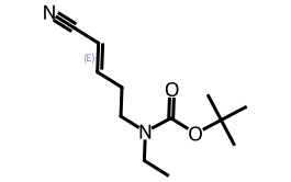 CCN(CC/C=C/C#N)C(=O)OC(C)(C)C